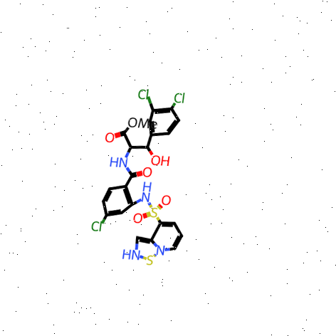 COC(=O)C(NC(=O)c1ccc(Cl)cc1NS(=O)(=O)C1=CC=CN2SNC=C12)C(O)c1ccc(Cl)c(Cl)c1